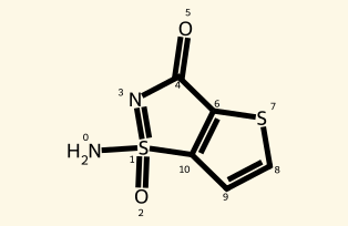 NS1(=O)=NC(=O)c2sccc21